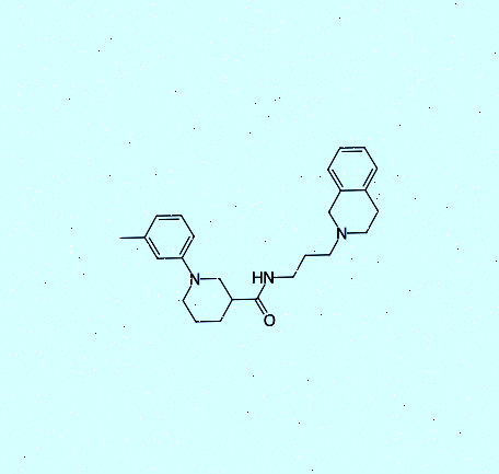 Cc1cccc(N2CCCC(C(=O)NCCCN3CCc4ccccc4C3)C2)c1